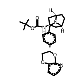 CC(C)(C)OC(=O)N[C@H]1C[C@H]2CC[C@@H](C1)N2Cc1ccc([C@H]2COc3cccnc3O2)cc1